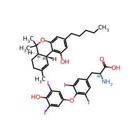 CCCCCc1cc(O)c2c(c1)OC(C)(C)[C@@H]1CCC(C)=C[C@@H]21.N[C@@H](Cc1cc(I)c(Oc2cc(I)c(O)c(I)c2)c(I)c1)C(=O)O